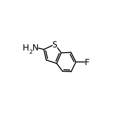 Nc1cc2ccc(F)cc2s1